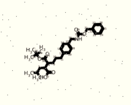 CC(C)CC(C(=O)O)C(CCCc1ccc(CNC(=O)OCc2ccccc2)cc1)C(=O)OC(C)(C)C